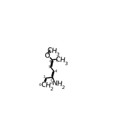 C=C/C(N)=C\C=C(/C)OC